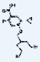 O=C(O)c1cc(C2CC2)c(OCC(CCBr)CCBr)cc1F